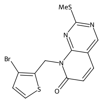 CSc1ncc2ccc(=O)n(Cc3sccc3Br)c2n1